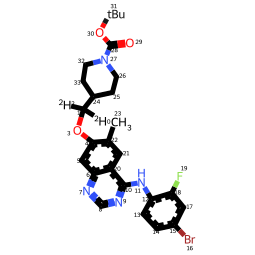 [2H]C([2H])(Oc1cc2ncnc(Nc3ccc(Br)cc3F)c2cc1C)C1CCN(C(=O)OC(C)(C)C)CC1